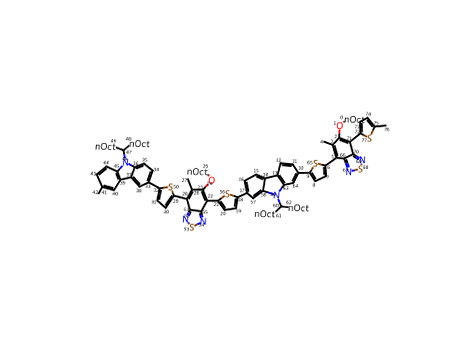 CCCCCCCCOc1c(C)c(-c2ccc(-c3ccc4c5ccc(-c6ccc(-c7c(OCCCCCCCC)c(C)c(-c8ccc(-c9ccc%10c(c9)c9cc(C)ccc9n%10C(CCCCCCCC)CCCCCCCC)s8)c8nsnc78)s6)cc5n(C(CCCCCCCC)CCCCCCCC)c4c3)s2)c2nsnc2c1-c1ccc(C)s1